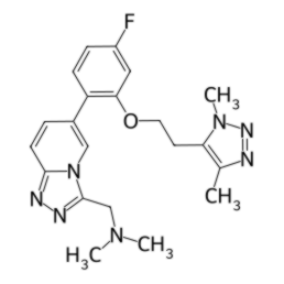 Cc1nnn(C)c1CCOc1cc(F)ccc1-c1ccc2nnc(CN(C)C)n2c1